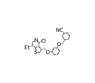 CCc1cnc(Cl)c2c(COc3cccc(OCc4cccc(C#N)c4)c3)csc12